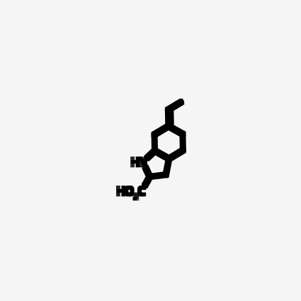 CC=C1CCC2CC(C(=O)O)NC2C1